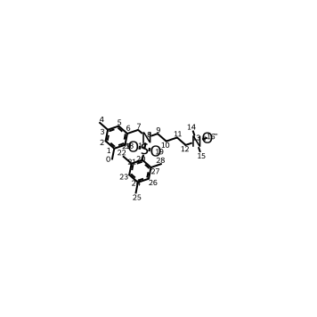 Cc1cc(C)cc(CN(CCCC[N+](C)(C)[O-])S(=O)(=O)c2c(C)cc(C)cc2C)c1